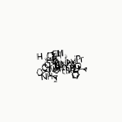 CC(C)[C@H](NC(=O)N[C@H](C(=O)N1C[C@H]2[C@@H]([C@H]1C(=O)NC(CC1CC1)C(=O)C(N)=O)C2(C)C)C(C)(C)C)C(=O)OC(c1ccccc1)C1CC1